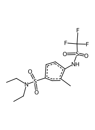 CCN(CC)S(=O)(=O)c1ccc(NS(=O)(=O)C(F)(F)F)c(C)c1